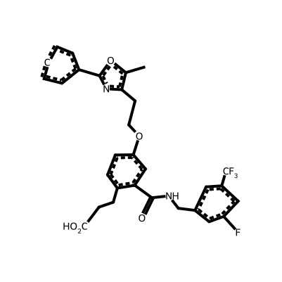 Cc1oc(-c2ccccc2)nc1CCOc1ccc(CCC(=O)O)c(C(=O)NCc2cc(F)cc(C(F)(F)F)c2)c1